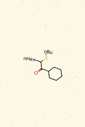 CCCCCCC(SCCCC)C(=O)C1CCCCC1